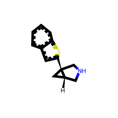 c1ccc2sc([C@@]34CNC[C@@H]3C4)cc2c1